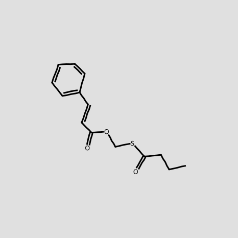 CCCC(=O)SCOC(=O)/C=C/c1ccccc1